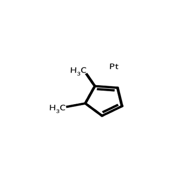 C[C]1C=CC=C1C.[Pt]